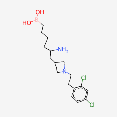 NC(CCCCB(O)O)CC1CN(CCc2ccc(Cl)cc2Cl)C1